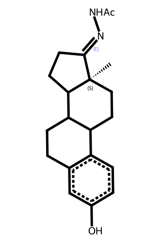 CC(=O)N/N=C1\CCC2C3CCc4cc(O)ccc4C3CC[C@]12C